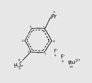 Cc1ccc(C(C)C)cc1.[F-].[F-].[Ru+2]